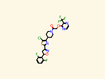 O=C(COc1nccnc1C(F)(F)F)N1CCC(c2nc(C3=NOC(c4c(F)cccc4F)C3)sc2Cl)CC1